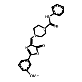 COc1cccc(C2=NC(=CN3CCN(C(=N)Nc4ccccc4)CC3)C(=O)O2)c1